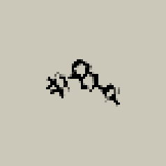 Cc1ncc(-c2cc3cccc(B4OC(C)(C)C(C)(C)O4)c3cn2)s1